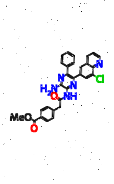 COC(=O)c1ccc(CC(=O)Nc2nc(-c3cc(Cl)c4ncccc4c3)c(-c3ccccc3)nc2N)cc1